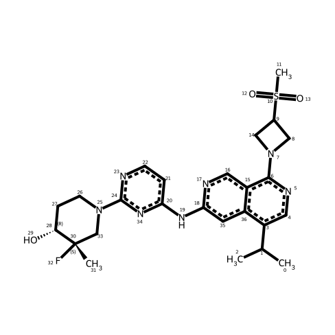 CC(C)c1cnc(N2CC(S(C)(=O)=O)C2)c2cnc(Nc3ccnc(N4CC[C@@H](O)[C@@](C)(F)C4)n3)cc12